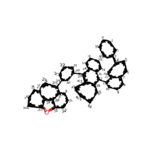 c1ccc(-c2ccc3cccc(-c4c5ccccc5c(-c5cccc(-c6cc7cccc8oc9cccc6c9c78)c5)c5ccccc45)c3c2)cc1